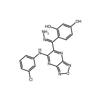 NN=C(c1ccc(O)cc1O)c1nc2nonc2nc1Nc1cccc(Cl)c1